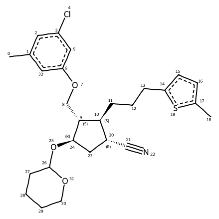 Cc1cc(Cl)cc(OC[C@@H]2[C@@H](CCCc3ccc(C)s3)[C@H](C#N)C[C@H]2OC2CCCCO2)c1